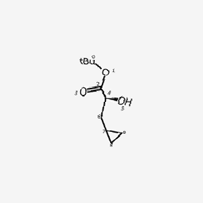 CC(C)(C)OC(=O)[C@@H](O)CC1CC1